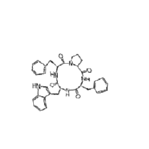 O=C1N[C@@H](Cc2ccccc2)C(=O)N[C@@H](Cc2c[nH]c3ccccc23)C(=O)N[C@@H](Cc2ccccc2)C(=O)N2CCCC12